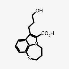 O=C(O)c1c(CCCO)c2cccc3c2n1CCCS3